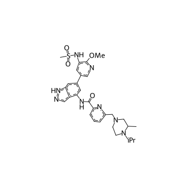 COc1ncc(-c2cc(NC(=O)c3cccc(CN4CCN(C(C)C)C(C)C4)n3)c3cn[nH]c3c2)cc1NS(C)(=O)=O